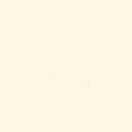 O=C(O)C=Cc1ccccc1.[P]